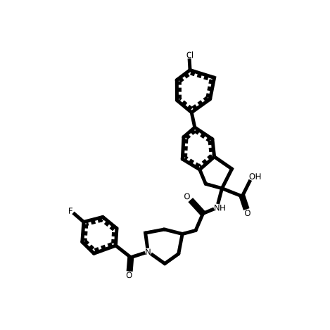 O=C(CC1CCN(C(=O)c2ccc(F)cc2)CC1)NC1(C(=O)O)Cc2ccc(-c3ccc(Cl)cc3)cc2C1